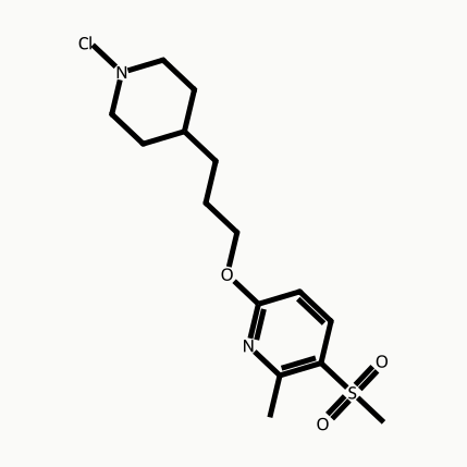 Cc1nc(OCCCC2CCN(Cl)CC2)ccc1S(C)(=O)=O